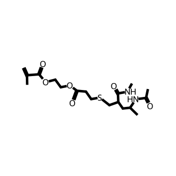 C=C(C)C(=O)OCCOC(=O)CCSCC(CC(C)NC(C)=O)C(=O)NC